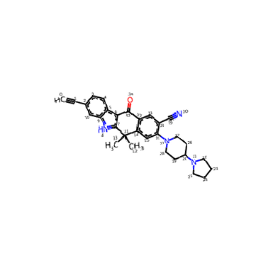 C#Cc1ccc2c3c([nH]c2c1)C(C)(C)c1cc(N2CCC(N4CCCC4)CC2)c(C#N)cc1C3=O